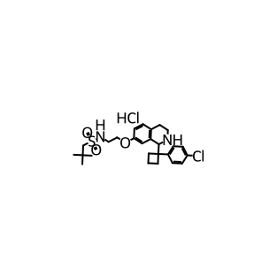 CC(C)(C)CS(=O)(=O)NCCOc1ccc2c(c1)C(C1(c3ccc(Cl)cc3)CCC1)NCC2.Cl